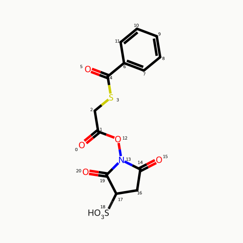 O=C(CSC(=O)c1ccccc1)ON1C(=O)CC(S(=O)(=O)O)C1=O